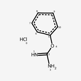 Cl.N=C(N)Oc1ccccc1